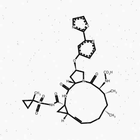 C[C@@H]1CCC=C[C@@H]2C[C@@]2(C(=O)NS(=O)(=O)C2(C)CC2)NC(=O)[C@@H]2C[C@@H](Oc3ccnc(-c4nccs4)c3)CN2C(=O)[C@@H](NC(=O)O)[C@H](C)C1